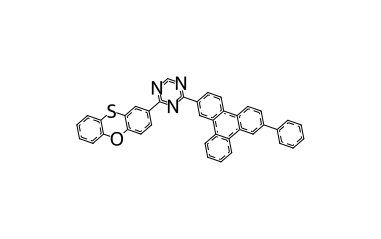 c1ccc(-c2ccc3c4ccc(-c5ncnc(-c6ccc7c(c6)Sc6ccccc6O7)n5)cc4c4ccccc4c3c2)cc1